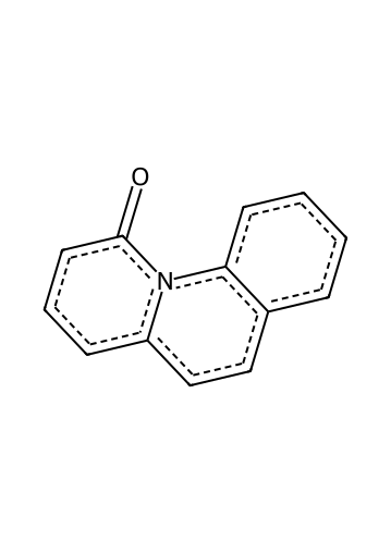 O=c1cccc2ccc3ccccc3n12